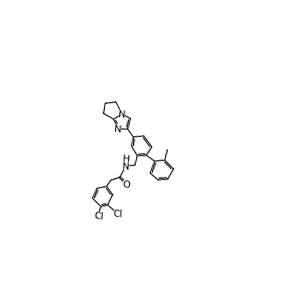 Cc1ccccc1-c1ccc(-c2cn3c(n2)CCC3)cc1CNC(=O)Cc1ccc(Cl)c(Cl)c1